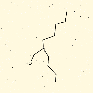 CCCCC[C](CO)CCCC